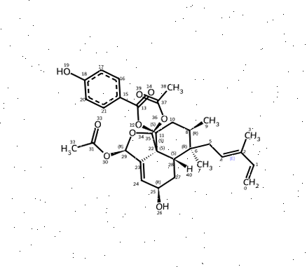 C=C/C(C)=C/C[C@]1(C)[C@H](C)C[C@H](OC(=O)c2ccc(O)cc2)[C@@]23C(=C[C@H](O)C[C@@H]12)[C@@H](OC(C)=O)O[C@H]3OC(C)=O